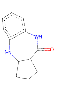 O=C1Nc2ccccc2NC2CCCC12